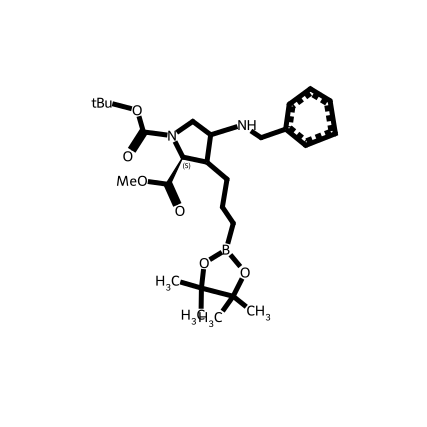 COC(=O)[C@@H]1C(CCCB2OC(C)(C)C(C)(C)O2)C(NCc2ccccc2)CN1C(=O)OC(C)(C)C